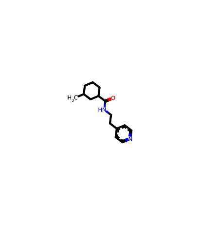 CC1CCCC(C(=O)NCCc2ccncc2)C1